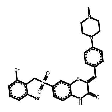 CN1CCN(c2ccc(C=C3Sc4cc(S(=O)(=O)Cc5c(Br)cccc5Br)ccc4NC3=O)cc2)CC1